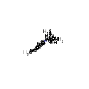 CCCCCC(OC(=O)/C=C/c1ccc(OC(=O)c2ccc(OCCOC)cc2)cc1)c1c(N)cc(N)cc1C(=O)O